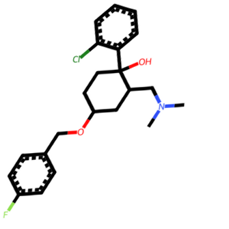 CN(C)CC1CC(OCc2ccc(F)cc2)CCC1(O)c1ccccc1Cl